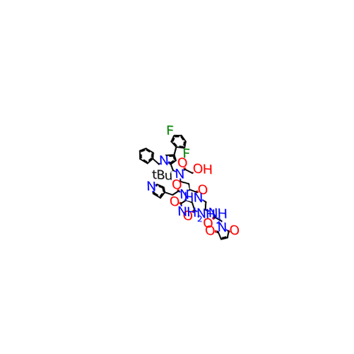 CC(C)(C)[C@H](c1cc(-c2cc(F)ccc2F)cn1Cc1ccccc1)N(CC[C@@H](C(=O)NCCNC(=O)CN1C(=O)C=CC1=O)N(C(=O)Cc1ccncc1)[C@@H](CC(N)=O)C(N)=O)C(=O)CO